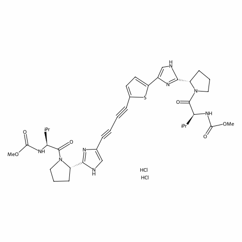 COC(=O)N[C@H](C(=O)N1CCC[C@H]1c1nc(C#CC#Cc2ccc(-c3c[nH]c([C@@H]4CCCN4C(=O)[C@@H](NC(=O)OC)C(C)C)n3)s2)c[nH]1)C(C)C.Cl.Cl